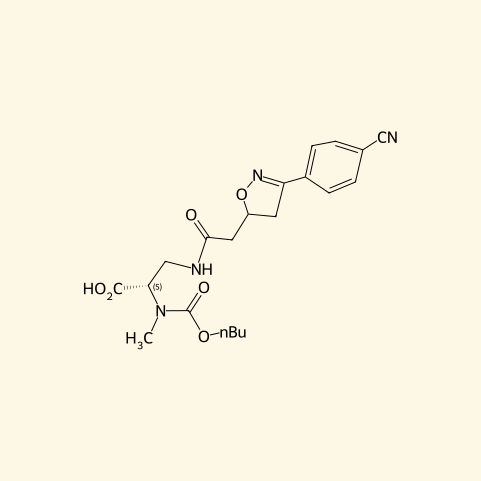 CCCCOC(=O)N(C)[C@@H](CNC(=O)CC1CC(c2ccc(C#N)cc2)=NO1)C(=O)O